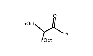 CCCCCCCCC(CCCCCCCC)C(=O)C(C)C